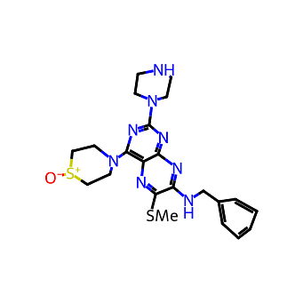 CSc1nc2c(N3CC[S+]([O-])CC3)nc(N3CCNCC3)nc2nc1NCc1ccccc1